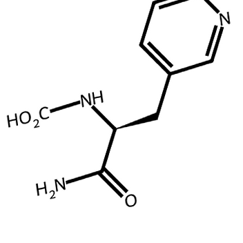 NC(=O)[C@H](Cc1cccnc1)NC(=O)O